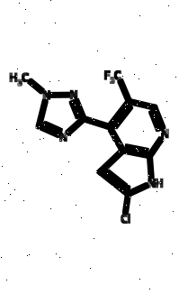 Cn1cnc(-c2c(C(F)(F)F)cnc3[nH]c(Cl)cc23)n1